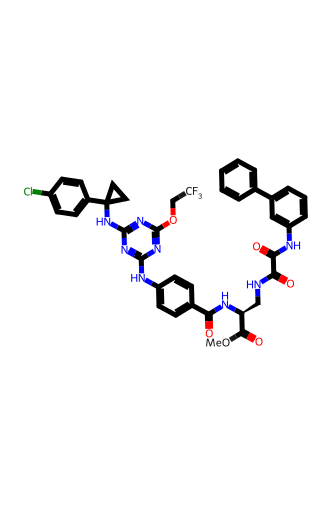 COC(=O)[C@H](CNC(=O)C(=O)Nc1cccc(-c2ccccc2)c1)NC(=O)c1ccc(Nc2nc(NC3(c4ccc(Cl)cc4)CC3)nc(OCC(F)(F)F)n2)cc1